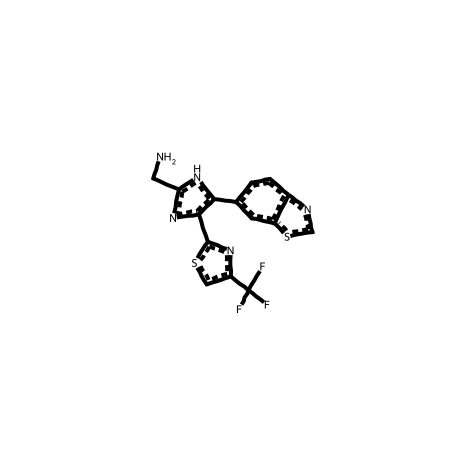 NCc1nc(-c2nc(C(F)(F)F)cs2)c(-c2ccc3ncsc3c2)[nH]1